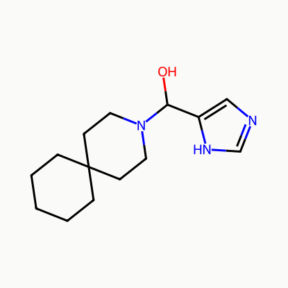 OC(c1cnc[nH]1)N1CCC2(CCCCC2)CC1